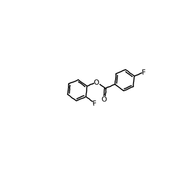 O=C(Oc1ccccc1F)c1ccc(F)cc1